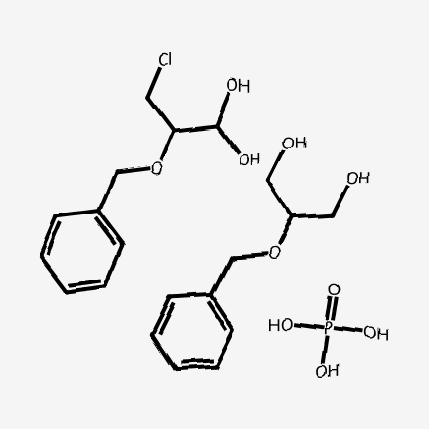 O=P(O)(O)O.OC(O)C(CCl)OCc1ccccc1.OCC(CO)OCc1ccccc1